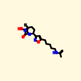 C=C(C)NCCCCCc1cc([C@@H]2CC[C@@H]3CN2C(=O)N3O)no1